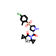 Cc1cc(Br)ccc1S(=O)(=O)[C@H]1CN[C@H](C(=O)N(C(=O)C2(C(F)(F)F)CC2)C2(C#N)CC2)C1